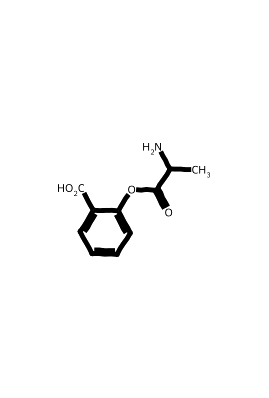 CC(N)C(=O)Oc1ccccc1C(=O)O